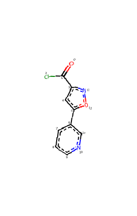 O=C(Cl)c1cc(-c2cccnc2)on1